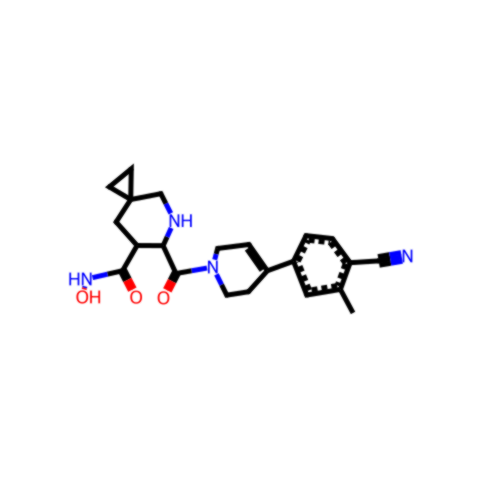 Cc1cc(C2=CCN(C(=O)C3NCC4(CC4)CC3C(=O)NO)CC2)ccc1C#N